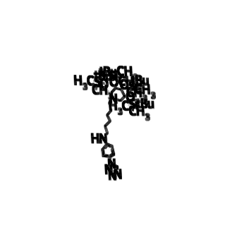 CC(C)(C)[Si](C)(C)OC[C@@H]1C(O[Si](C)(C)C(C)(C)C)C(O[Si](C)(C)C(C)(C)C)C(O[Si](C)(C)C(C)(C)C)CN1CCCCCCNc1ccc(-n2cnnn2)cc1